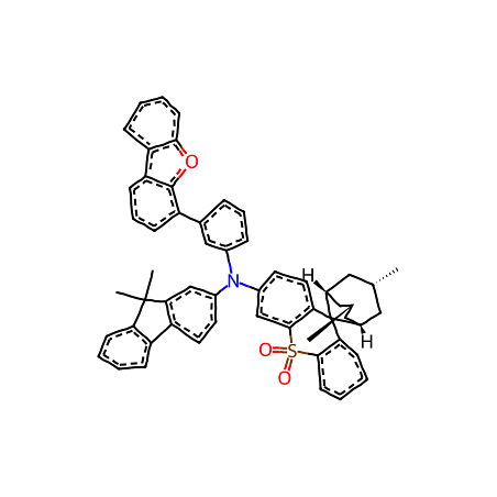 CC1(C)c2ccccc2-c2ccc(N(c3cccc(-c4cccc5c4oc4ccccc45)c3)c3ccc4c(c3)S(=O)(=O)c3ccccc3C43[C@H]4C[C@@H](C)C[C@@H]3C[C@@H](C)C4)cc21